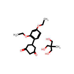 CC(CO)(CO)CO.CCOc1ccc(C2CC(=O)CC(=O)C2)c(OCC)c1